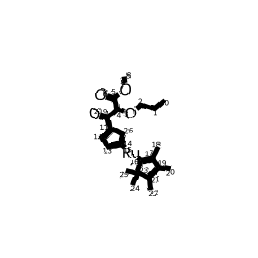 CCCOC(C(=O)OC)C(=O)C1=CC=[C]([Ru][C]2=C(C)C(C)=C(C)C2(C)C)C1